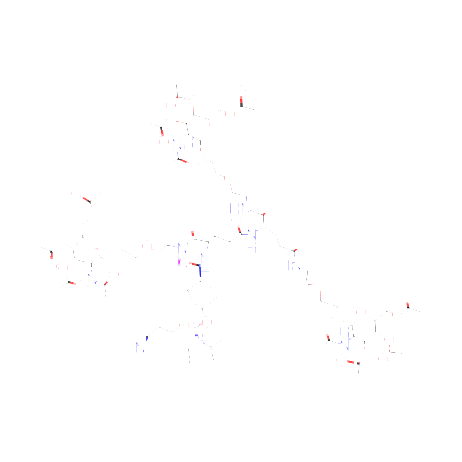 CC(=O)NC1C(OCCOCCNC(=O)CCC(NC(=O)CCC(NC(=O)C2CCC(OP(OCCC#N)N(C(C)C)C(C)C)CC2)C(=O)NCCOCCOC2OC(COC(C)=O)C(OC(C)=O)C(OC(C)=O)C2NC(C)=O)C(=O)NCCOCCOC2OC(COC(C)=O)C(OC(C)=O)C(OC(C)=O)C2NC(C)=O)OC(COC(C)=O)C(OC(C)=O)C1OC(C)=O